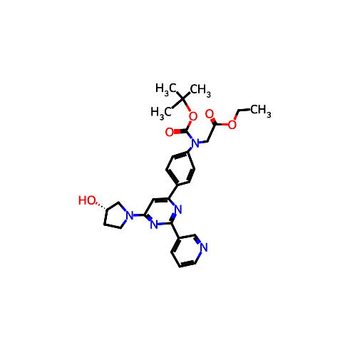 CCOC(=O)CN(C(=O)OC(C)(C)C)c1ccc(-c2cc(N3CC[C@H](O)C3)nc(-c3cccnc3)n2)cc1